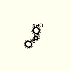 O=CC1CCCCC(Sc2ccc(OCC3CCCCCCCCC3)cc2)CCCC1